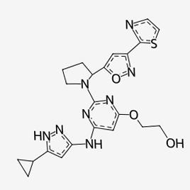 OCCOc1cc(Nc2cc(C3CC3)[nH]n2)nc(N2CCCC2c2cc(-c3nccs3)no2)n1